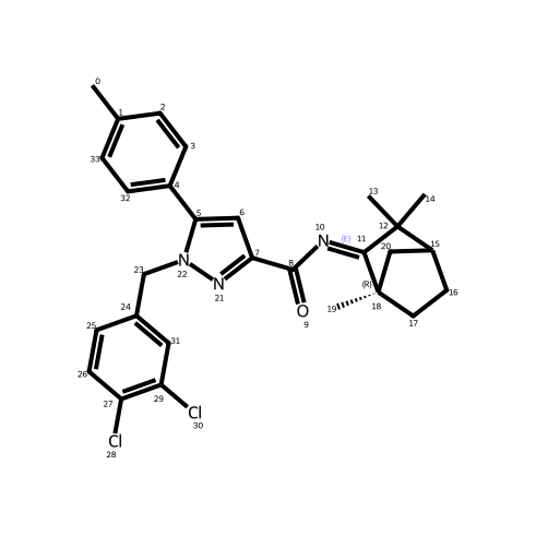 Cc1ccc(-c2cc(C(=O)/N=C3/C(C)(C)C4CC[C@]3(C)C4)nn2Cc2ccc(Cl)c(Cl)c2)cc1